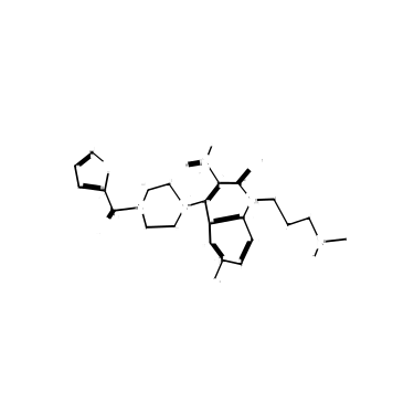 CN(C)CCCn1c(=O)c([N+](=O)[O-])c(N2CCN(C(=O)c3ccco3)CC2)c2cc(Cl)ccc21